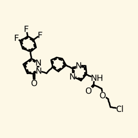 O=C(COCCCl)Nc1cnc(-c2cccc(Cn3nc(-c4cc(F)c(F)c(F)c4)ccc3=O)c2)nc1